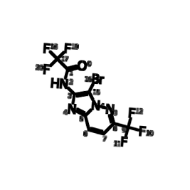 O=C(Nc1nc2ccc(C(F)(F)F)nn2c1Br)C(F)(F)F